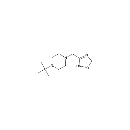 CC(C)(C)N1CCN(CC2=NCON2)CC1